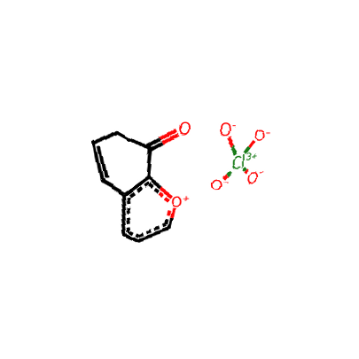 O=C1CC=Cc2ccc[o+]c21.[O-][Cl+3]([O-])([O-])[O-]